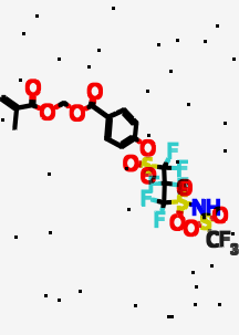 C=C(C)C(=O)OCOC(=O)c1ccc(OS(=O)(=O)C(F)(F)C(F)(F)C(F)(F)S(=O)(=O)NS(=O)(=O)C(F)(F)F)cc1